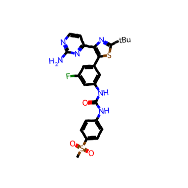 CC(C)(C)c1nc(-c2ccnc(N)n2)c(-c2cc(F)cc(NC(=O)Nc3ccc(S(C)(=O)=O)cc3)c2)s1